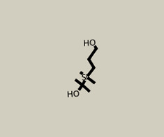 CC(C)(O)[Si](C)(C)CCCO